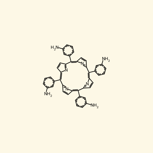 Nc1cccc(C2=C3C=CC(=N3)C(c3cccc(N)c3)=C3C=CC(=N3)C(c3cccc(N)c3)=C3C=CC(=N3)C(c3cccc(N)c3)=C3C=CC2=N3)c1